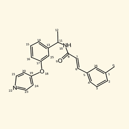 Cc1cccc(C=CC(=O)NC(C)c2cccc(Oc3ccncc3)c2)c1